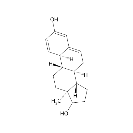 C[C@]12CC[C@H]3[C@@H](CC=C4C=C(O)C=C[C@@H]43)[C@@H]1CCC2O